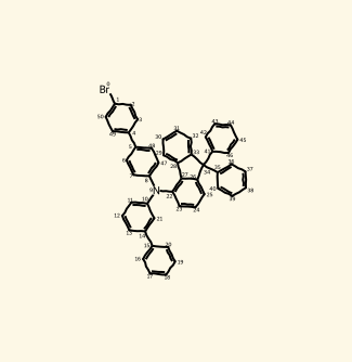 Brc1ccc(-c2ccc(N(c3cccc(-c4ccccc4)c3)c3cccc4c3-c3ccccc3C4(c3ccccc3)c3ccccc3)cc2)cc1